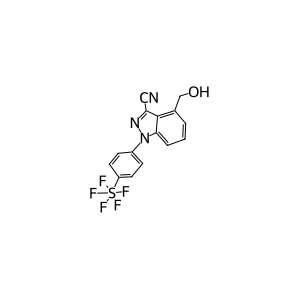 N#Cc1nn(-c2ccc(S(F)(F)(F)(F)F)cc2)c2cccc(CO)c12